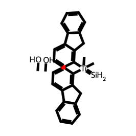 CO.CO.[CH3][Ti]([CH3])(=[SiH2])([c]1cccc2c1Cc1ccccc1-2)[c]1cccc2c1Cc1ccccc1-2